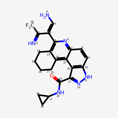 N=C(/C(=C\N)c1nc2ccc3[nH]nc(C(=O)NC4CC4)c3c2c2c1CCCC2)C(F)(F)F